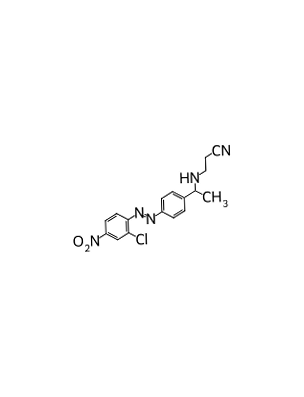 CC(NCCC#N)c1ccc(N=Nc2ccc([N+](=O)[O-])cc2Cl)cc1